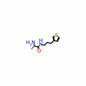 C[C@@H](N)C(=O)NCCCc1ccsc1